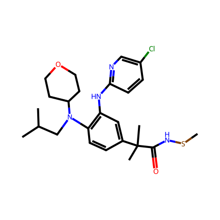 CSNC(=O)C(C)(C)c1ccc(N(CC(C)C)C2CCOCC2)c(Nc2ccc(Cl)cn2)c1